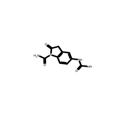 CCCC(=O)Nc1ccc2c(c1)CC(=O)N2C(N)=O